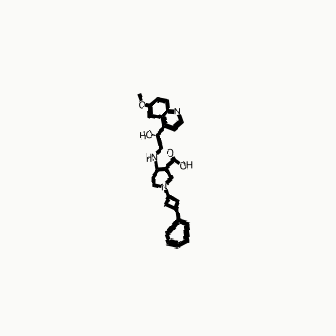 COc1ccc2nccc([C@@H](O)CNC3CCN(C4CC(c5ccccc5)C4)CC3C(=O)O)c2c1